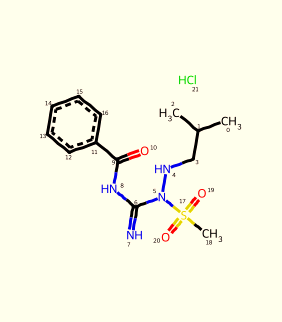 CC(C)CNN(C(=N)NC(=O)c1ccccc1)S(C)(=O)=O.Cl